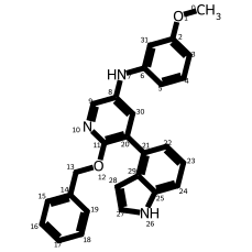 COc1cccc(Nc2cnc(OCc3ccccc3)c(-c3cccc4[nH]ccc34)c2)c1